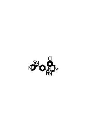 CN1Cc2cc(Cl)ccc2-n2c(nnc2[C@H]2CC[C@H](c3nsc4cnccc43)CC2)C1